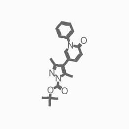 Cc1nn(C(=O)OC(C)(C)C)c(C)c1-c1ccc(=O)n(-c2ccccc2)c1